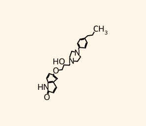 CCCc1ccc(N2CCN(CC(O)COc3ccc4[nH]c(=O)ccc4c3)CC2)cc1